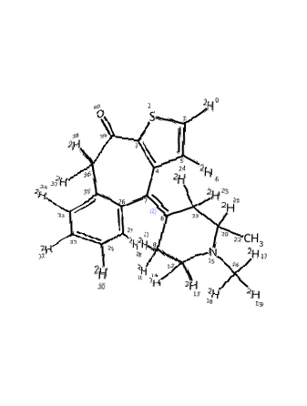 [2H]c1sc2c(c1[2H])/C(=C1/C([2H])([2H])C([2H])([2H])N(C([2H])([2H])[2H])C([2H])(C)C1([2H])[2H])c1c([2H])c([2H])c([2H])c([2H])c1C([2H])([2H])C2=O